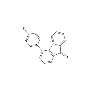 O=C1c2ccccc2-c2c1cccc2-c1ccc(F)nc1